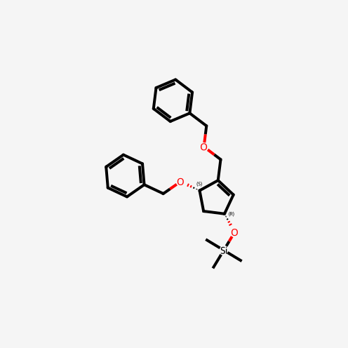 C[Si](C)(C)O[C@H]1C=C(COCc2ccccc2)[C@@H](OCc2ccccc2)C1